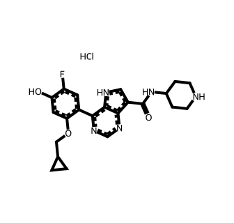 Cl.O=C(NC1CCNCC1)c1c[nH]c2c(-c3cc(F)c(O)cc3OCC3CC3)ncnc12